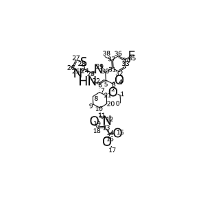 CCOC(=O)C1=C([C@H]2CC[C@@H](c3nc(C(=O)OC)co3)CC2)NC(c2nccs2)=NC1c1ccc(F)cc1C